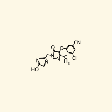 Cc1ncn(Cc2cnc(O)cn2)c(=O)c1Oc1cc(Cl)cc(C#N)c1